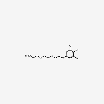 COCCOCCOCCOc1cc(Cl)c(Cl)c(Br)c1